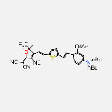 [C-]#[N+]C1=C(/C=C/c2ccc(/C=C/c3ccc(N(CCCC)CCCC)cc3OC)s2)C(C)(C(F)(F)F)OC1=C(C#N)C#N